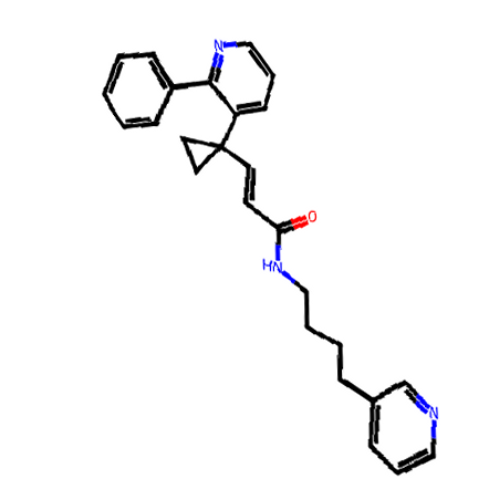 O=C(/C=C/C1(c2cccnc2-c2ccccc2)CC1)NCCCCc1cccnc1